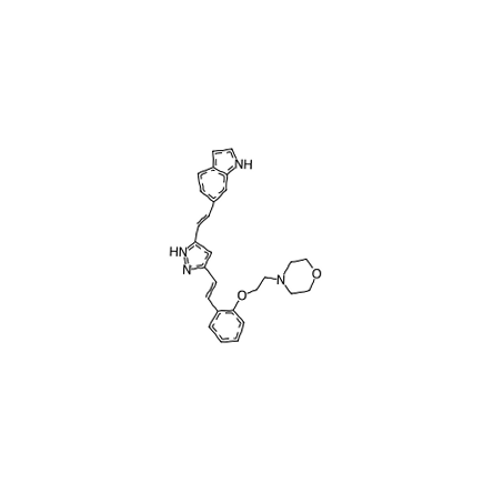 C(=Cc1cc(C=Cc2ccccc2OCCN2CCOCC2)n[nH]1)c1ccc2cc[nH]c2c1